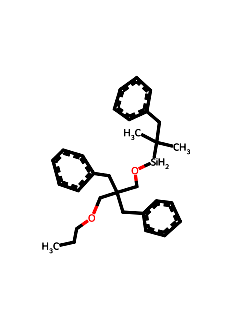 CCCOCC(CO[SiH2]C(C)(C)Cc1ccccc1)(Cc1ccccc1)Cc1ccccc1